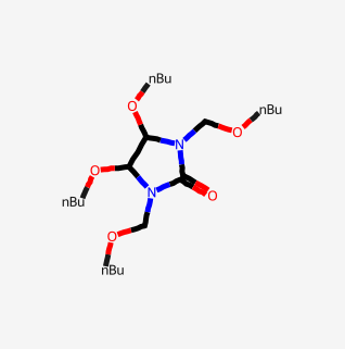 CCCCOCN1C(=O)N(COCCCC)C(OCCCC)C1OCCCC